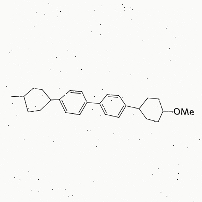 COC1CCC(c2ccc(-c3ccc(C4CCC(C)CC4)cc3)cc2)CC1